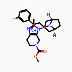 COC(=O)N1CCc2nc(C)n([C@H]3C[C@H]4CC[C@@H](C3)N4CC[C@H](N)c3cccc(F)c3)c2C1